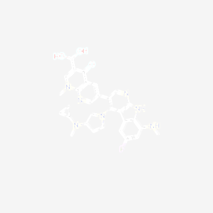 CNc1cc(F)cc2c1[nH]c1ncc(-c3cnc4c(c3)c(=O)c(C(O)O)cn4C)c(N3CCC(N(C)C4CC4)C3)c12